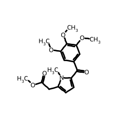 COC(=O)Cc1ccc(C(=O)c2cc(OC)c(OC)c(OC)c2)n1C